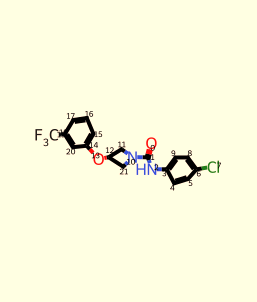 O=C(Nc1ccc(Cl)cc1)N1CC(Oc2cccc(C(F)(F)F)c2)C1